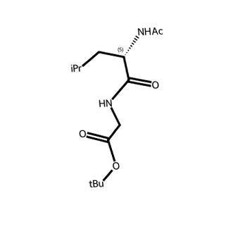 CC(=O)N[C@@H](CC(C)C)C(=O)NCC(=O)OC(C)(C)C